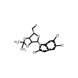 CC1(C)OC2C(O1)[C@@H](CF)O[C@H]2n1c(Cl)cc2cc(Cl)c(Cl)cc21